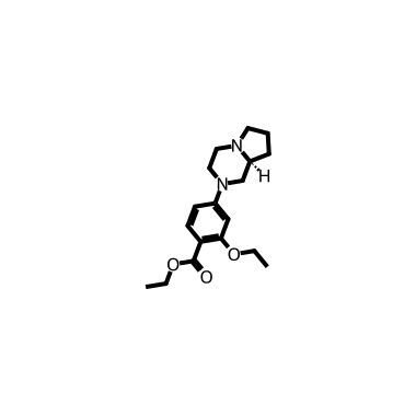 CCOC(=O)c1ccc(N2CCN3CCC[C@H]3C2)cc1OCC